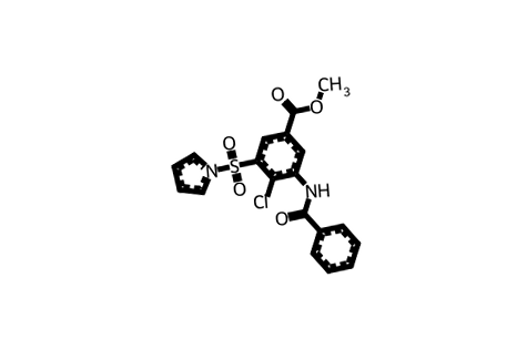 COC(=O)c1cc(NC(=O)c2ccccc2)c(Cl)c(S(=O)(=O)n2cccc2)c1